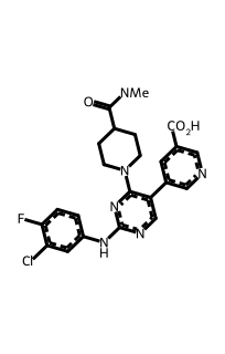 CNC(=O)C1CCN(c2nc(Nc3ccc(F)c(Cl)c3)ncc2-c2cncc(C(=O)O)c2)CC1